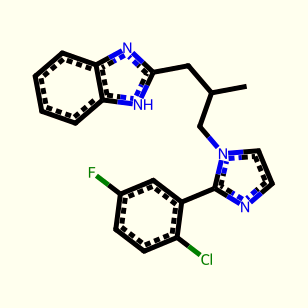 CC(Cc1nc2ccccc2[nH]1)Cn1ccnc1-c1cc(F)ccc1Cl